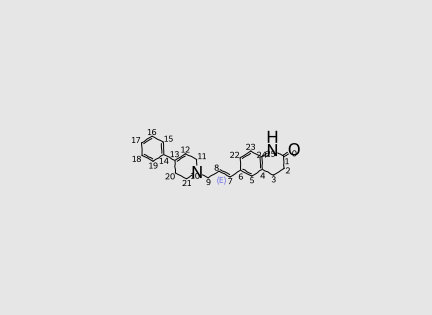 O=C1CCc2cc(/C=C/CN3CC=C(c4ccccc4)CC3)ccc2N1